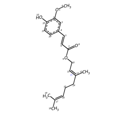 COc1cc(C=CC(=O)OC/C=C(\C)CCC=C(C)C)ccc1O